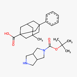 CC(C)(C)OC(=O)N1CC2CNCC2C1.CC12CC3CC(C(=O)O)(C1)CC(c1ccccc1)(C3)C2